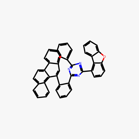 c1ccc(-c2nc(-c3ccccc3-c3cc4ccccc4c4ccc5ccccc5c34)nc(-c3cccc4oc5ccccc5c34)n2)cc1